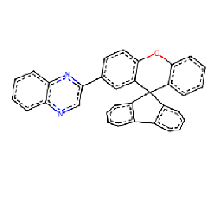 c1ccc2c(c1)Oc1ccc(-c3cnc4ccccc4n3)cc1C21c2ccccc2-c2ccccc21